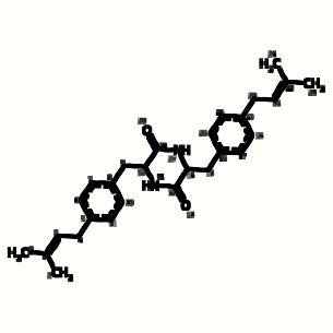 CC(C)=CCc1ccc(CC2NC(=O)C(Cc3ccc(CC=C(C)C)cc3)NC2=O)cc1